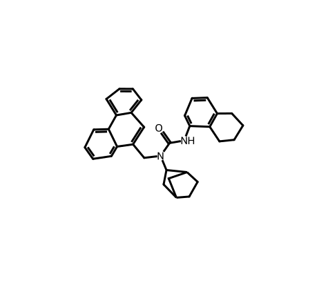 O=C(Nc1cccc2c1CCCC2)N(Cc1cc2ccccc2c2ccccc12)C1CC2CCC1C2